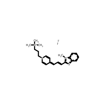 C[n+]1c(C=CC=C2C=CN(CCC[N+](C)(C)C)C=C2)sc2ccccc21.[I-].[I-]